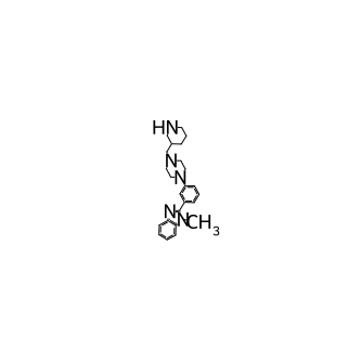 Cn1c(-c2cccc(N3CCN(CC4CCCNC4)CC3)c2)nc2ccccc21